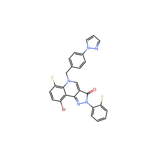 O=c1c2cn(Cc3ccc(-n4cccn4)cc3)c3c(F)ccc(Br)c3c-2nn1-c1ccccc1F